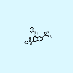 N=C(N)c1ccc2cc(C(=O)Nc3ccccc3)cc(Nc3ncccn3)c2c1